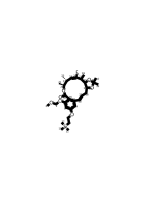 COCOc1cc(OCC[Si](C)(C)C)cc2c1C(=O)O[C@@H](C)[C@H](C)/C=C(/F)C(C)C1OC(C)(C)OC1C/C=C/2